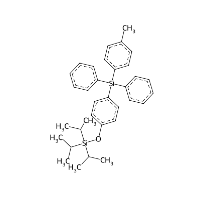 Cc1ccc([Si](c2ccccc2)(c2ccccc2)c2ccc(O[Si](C(C)C)(C(C)C)C(C)C)cc2)cc1